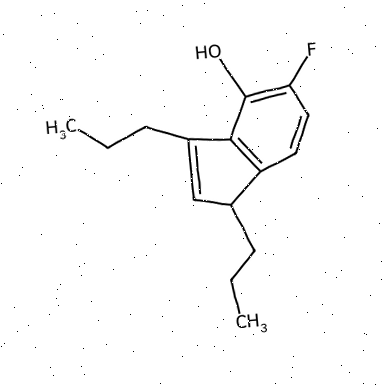 CCCC1=CC(CCC)c2ccc(F)c(O)c21